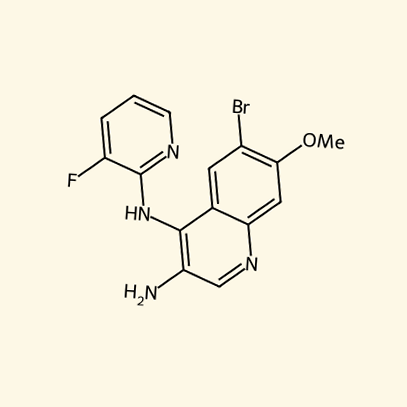 COc1cc2ncc(N)c(Nc3ncccc3F)c2cc1Br